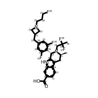 C[C@H]1Cc2c([nH]c3cc(C(=O)O)ccc23)[C@H](c2c(F)cc(CC3CN(CCCF)C3)cc2F)N1CC(C)(F)F